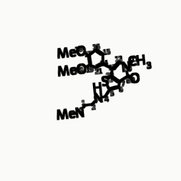 CNCCNCc1cc2c(=O)n(C)cc(-c3ccc(OC)c(OC)c3)c2s1